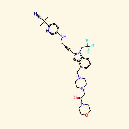 CC(C)(C#N)c1ccc(NCC#Cc2cc3c(CN4CCN(CC(=O)N5CCOCC5)CC4)cccc3n2CC(F)(F)F)cn1